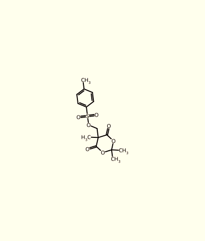 Cc1ccc(S(=O)(=O)OCC2(C)C(=O)OC(C)(C)OC2=O)cc1